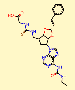 CCNC(=O)Nc1ncnc2c1ncn2C1CC(CNC(=S)NCC(=O)O)C2O[C@H](/C=C/c3ccccc3)OC21